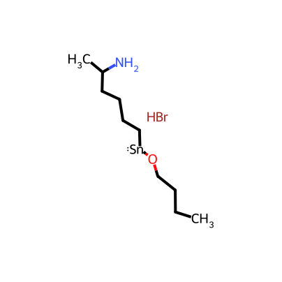 Br.CCCC[O][Sn][CH2]CCCC(C)N